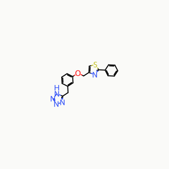 c1ccc(-c2nc(COc3cccc(Cc4nnn[nH]4)c3)cs2)cc1